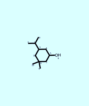 CC(C)C1CC(O)CC(C)(C)C1